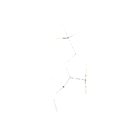 COC(C)(C)[C](OCC(F)(F)F)C(F)(F)F